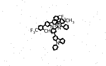 Cc1ccc(-c2ccc3c4ccc(-c5ccc(C(F)(F)F)cc5C)cc4n(-c4ccc(-c5ccc6c(c5)c5ccccc5n6-c5ccccc5)cc4-c4nc(-c5ccccc5)nc(-c5ccccc5)n4)c3c2)c(C(F)(F)F)c1